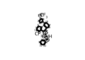 O=S(=O)(Nc1nc(-c2ccccc2C(F)(F)F)c(-c2cccc([C@@H]3CC[C@H](OC(F)(F)F)C3)c2)s1)c1ccccc1